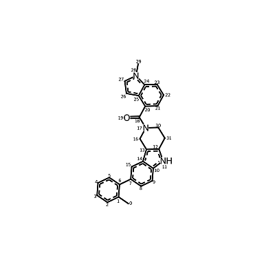 Cc1ccccc1-c1ccc2[nH]c3c(c2c1)CN(C(=O)c1cccc2c1ccn2C)CC3